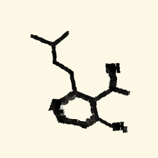 CC(=N)c1c(N)ccnc1CCC(C)C